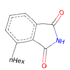 CCCCCCc1cccc2c1C(=O)NC2=O